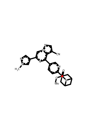 Cn1cc(-c2cn3ncc(C#N)c3c(-c3ccc(N4CC5CC(C4)N5C(=O)OC(C)(C)C)nc3)n2)cn1